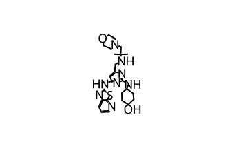 CC(C)(CN1CCOCC1)NCc1cc(Nc2nc3cccnc3s2)nc(NC2CCC(O)CC2)n1